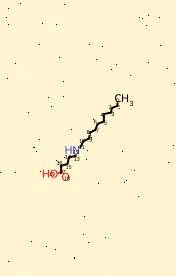 CCCCCCCCCCCCNCCCCC(=O)O